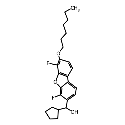 CCCCCCCOc1ccc2c(oc3c(F)c(C(O)C4CCCC4)ccc32)c1F